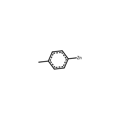 Cc1cc[c]([Zn])cc1